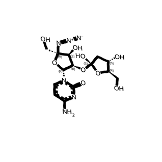 [N-]=[N+]=N[C@]1(CO)O[C@@H](n2ccc(N)nc2=O)[C@H](O[C@]2(O)C[C@H](O)[C@@H](CO)O2)[C@@H]1O